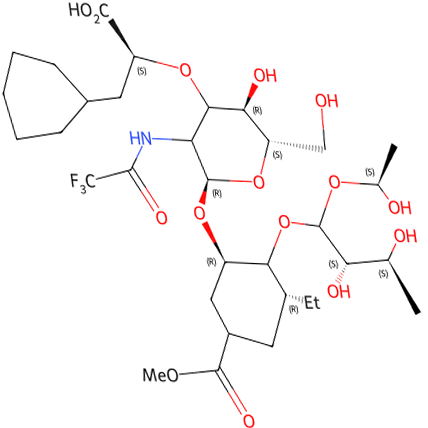 CC[C@@H]1CC(C(=O)OC)C[C@@H](O[C@@H]2O[C@@H](CO)[C@H](O)C(O[C@@H](CC3CCCCC3)C(=O)O)C2NC(=O)C(F)(F)F)C1OC(O[C@@H](C)O)[C@@H](O)[C@H](C)O